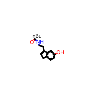 CCCCC(=O)NCCC1=CCc2ccc(O)cc21